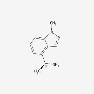 C[C@H](N)c1cccc2c1cnn2C